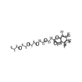 CCCOCCOCCOCCOCCC(=O)Oc1c(C)c(F)c(F)c(F)c1F